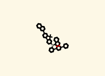 CC1(C)c2cc(-c3ccc4ccccc4c3)ccc2-c2ccc(N(c3ccccc3-c3ccc(-c4ccccc4)cc3)c3cccc4ccccc34)cc21